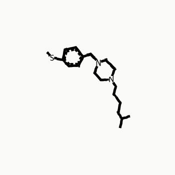 CSc1ccc(CN2CCN(CCCCC(C)C)CC2)cc1